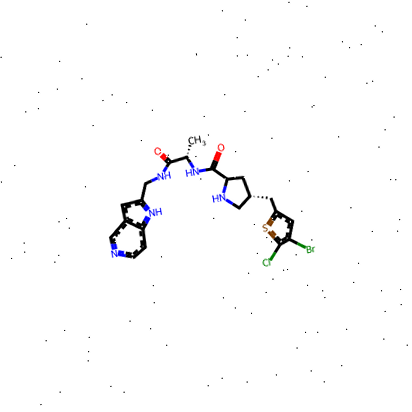 C[C@H](NC(=O)C1C[C@H](Cc2cc(Br)c(Cl)s2)CN1)C(=O)NCc1cc2cnccc2[nH]1